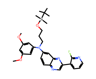 COc1cc(OC)cc(N(CCCO[Si](C)(C)C(C)(C)C)c2ccc3ncc(-c4cccnc4F)nc3c2)c1